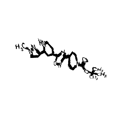 Cn1ccc(C2CC(c3nc(C4CCN(C(=O)OC(C)(C)C)CC4)no3)CCN2)n1